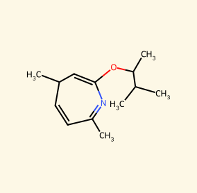 CC1=NC(OC(C)C(C)C)=CC(C)C=C1